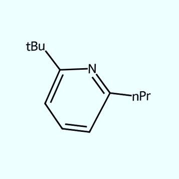 CCCc1cccc(C(C)(C)C)n1